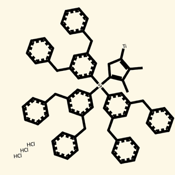 CC1=[C]([Ti])CC([Si](c2cc(Cc3ccccc3)cc(Cc3ccccc3)c2)(c2cc(Cc3ccccc3)cc(Cc3ccccc3)c2)c2cc(Cc3ccccc3)cc(Cc3ccccc3)c2)=C1C.Cl.Cl.Cl